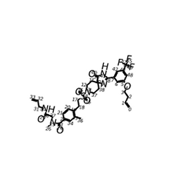 C=CCCOc1cc(C2=NC3(CCN(S(=O)(=O)CCc4ccc(C(=O)N(C)CC(=O)NCC=C)cc4C)CC3)C(=O)N2)cc(C(F)(F)F)c1